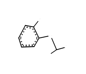 FC(F)Oc1c[c]ccc1Br